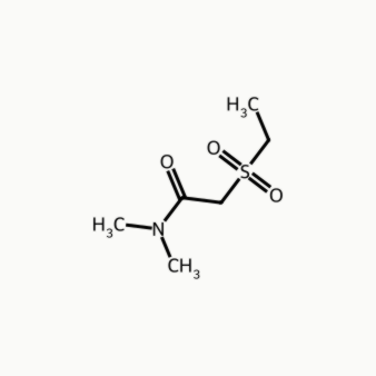 CCS(=O)(=O)CC(=O)N(C)C